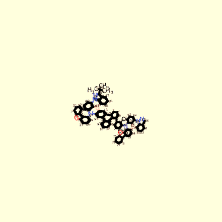 Cc1ccc(-c2cccc3c4cc5c(cc4c4ccccc4c23)N(c2cccc3oc4ccccc4c23)c2cccc3c2B5c2cccc4c(C(C)(C)C)nn-3c24)c(C)c1N1c2cccc3c2B(c2ccc4c(oc5ccccc54)c21)c1cccc2cnn-3c12